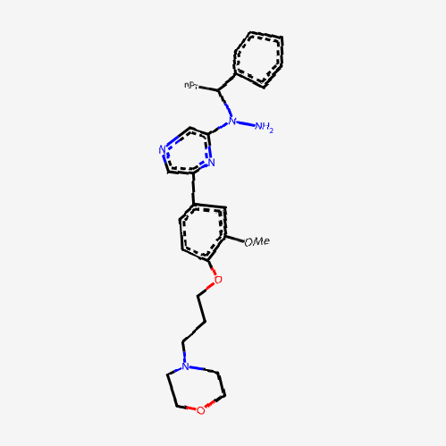 CCCC(c1ccccc1)N(N)c1cncc(-c2ccc(OCCCN3CCOCC3)c(OC)c2)n1